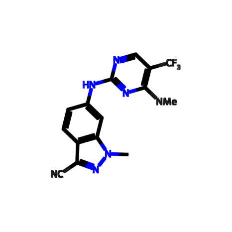 CNc1nc(Nc2ccc3c(C#N)nn(C)c3c2)ncc1C(F)(F)F